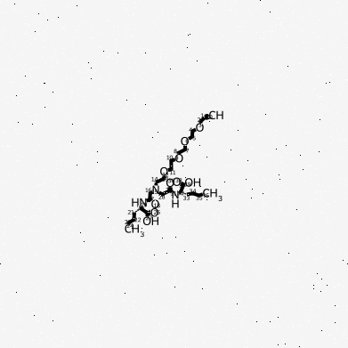 C#CCOCCOCCOCCOCCN(CC(=O)N[C@@H](CCCC)C(=O)O)CC(=O)N[C@@H](CCCC)C(=O)O